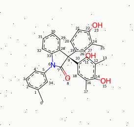 Cc1cccc(N2C(=O)[C@@](c3cc(C)c(O)c(C)c3)(c3ccc(O)c(C)c3O)c3ccccc32)c1